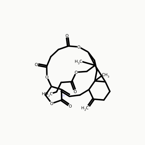 C=C1CCC2C(C)(COC(=O)CCC(=O)O)C3CCC2(C)C1C/C=C1\C(=O)OCC1OC(=O)CCC(=O)O3